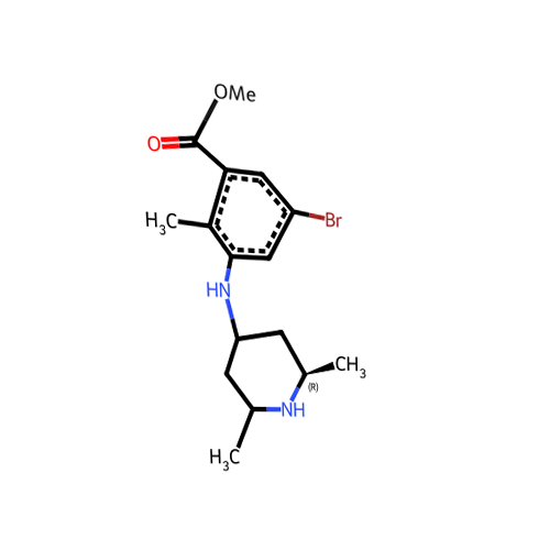 COC(=O)c1cc(Br)cc(NC2CC(C)N[C@H](C)C2)c1C